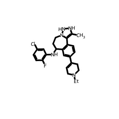 CCN1CC=C(c2ccc3c(c2)C(Nc2cc(Cl)ccc2F)CCN2NNC(C)=C32)CC1